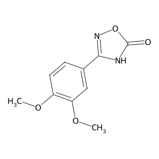 COc1ccc(-c2noc(=O)[nH]2)cc1OC